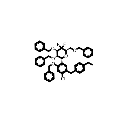 CCc1ccc(Cc2cc([C@@H]3O[C@H](COCc4ccccc4)C(F)(F)[C@H](OCc4ccccc4)[C@H]3OCc3ccccc3)c(OCc3ccccc3)cc2Cl)cc1